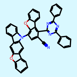 N#Cc1cc(-n2c3ccccc3c3cc4oc5ccccc5c4cc32)c2oc3ccccc3c2c1-c1nc(-c2ccccc2)nc(-c2ccccc2)n1